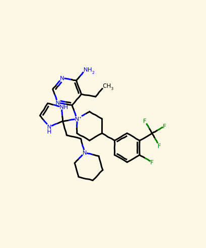 CCc1c(N)ncnc1[N+]1(C2(CCN3CCCCC3)NC=CN2)CCC(c2ccc(F)c(C(F)(F)F)c2)CC1